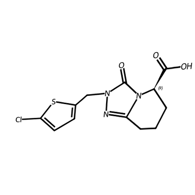 O=C(O)[C@H]1CCCc2nn(Cc3ccc(Cl)s3)c(=O)n21